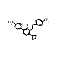 Nc1cnc(-c2ccc(C3CCC3)c(CCc3ccc(C(F)(F)F)cc3)c2F)cn1